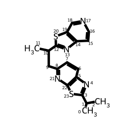 CC(C)c1nc2ccc(CC(C)c3nc4ccncc4s3)nc2s1